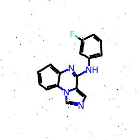 Fc1cccc(Nc2nc3ccccc3n3cncc23)c1